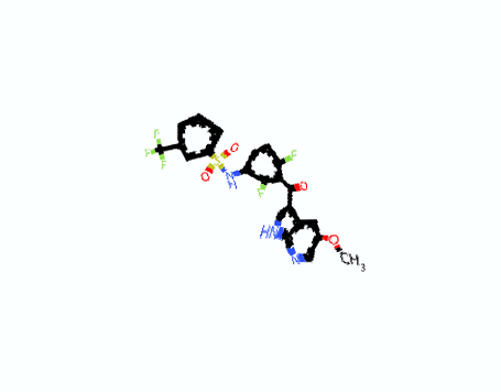 COc1cnc2[nH]cc(C(=O)c3c(F)ccc(NS(=O)(=O)c4cccc(C(F)(F)F)c4)c3F)c2c1